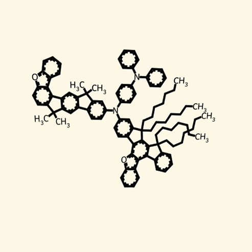 CCCCCCCC1(CCCCCCC)c2cc(N(c3ccc(N(c4ccccc4)c4ccccc4)cc3)c3ccc4c(c3)C(C)(C)c3cc5c(cc3-4)C(C)(C)c3ccc4oc6ccccc6c4c3-5)ccc2-c2c1c1c(c3c2oc2ccccc23)-c2ccccc2C1(CCCCCCC)CCCCCCC